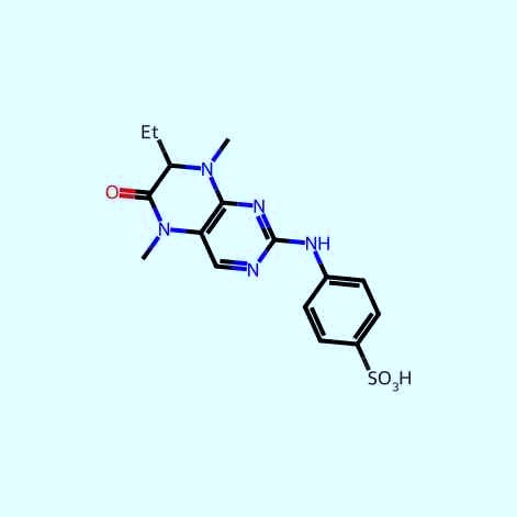 CCC1C(=O)N(C)c2cnc(Nc3ccc(S(=O)(=O)O)cc3)nc2N1C